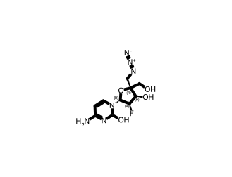 [N-]=[N+]=NC[C@]1(CO)O[C@@H](N2C=CC(N)=NC2O)[C@H](F)[C@@H]1O